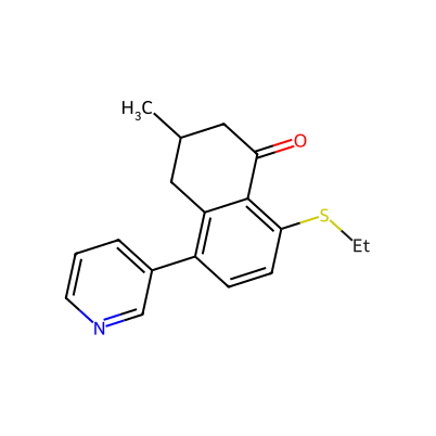 CCSc1ccc(-c2cccnc2)c2c1C(=O)CC(C)C2